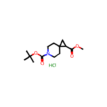 COC(=O)C1CC12CCN(C(=O)OC(C)(C)C)CC2.Cl